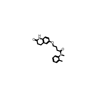 Cc1ccccc1N(C)C(=O)CCCOc1ccc2c(c1)CCC(=O)N2